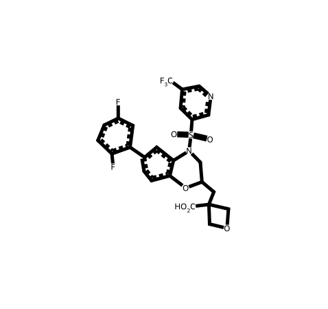 O=C(O)C1(CC2CN(S(=O)(=O)c3cncc(C(F)(F)F)c3)c3cc(-c4cc(F)ccc4F)ccc3O2)COC1